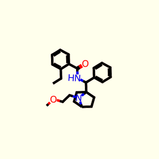 CCc1ccccc1C(=O)NC(c1ccccc1)C12CCC(CC1)N2CCOC